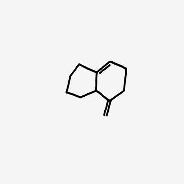 C=C1CCC=C2CCCCC12